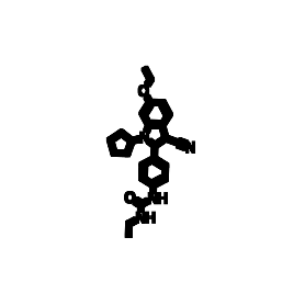 CCNC(=O)Nc1ccc(C2C(C#N)c3ccc(OCC)cc3N2C2CCCC2)cc1